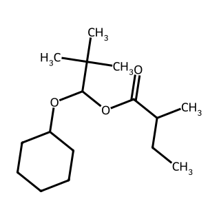 CCC(C)C(=O)OC(OC1CCCCC1)C(C)(C)C